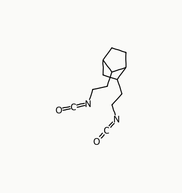 O=C=NCCC1CC2CCC1C2CCN=C=O